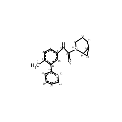 Cc1ccc(NC(=O)N2CCCC3CC32)cc1-c1ccccn1